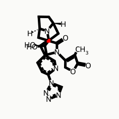 CC1=C(N2CC(O)C3(C[C@H]4CC[C@H](C3)N4C[C@@H](O)c3ccc(-n4cnnn4)nc3)C2=O)COC1=O